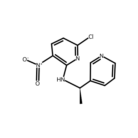 C[C@@H](Nc1nc(Cl)ccc1[N+](=O)[O-])c1cccnc1